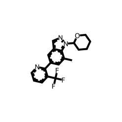 Cc1cc(-c2ncccc2C(F)(F)F)cc2cnn(C3CCCCO3)c12